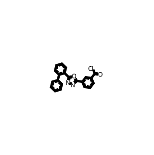 O=C(Cl)c1cccc(-c2nnc(-c3ccccc3-c3ccccc3)o2)c1